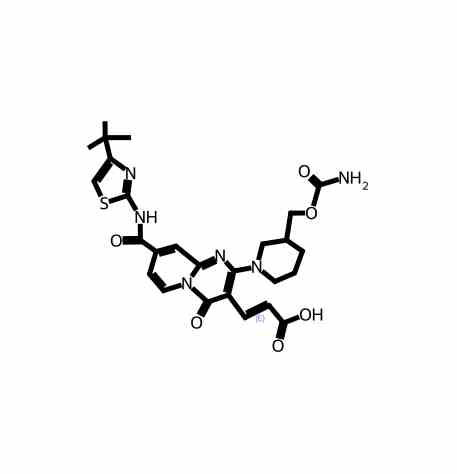 CC(C)(C)c1csc(NC(=O)c2ccn3c(=O)c(/C=C/C(=O)O)c(N4CCCC(COC(N)=O)C4)nc3c2)n1